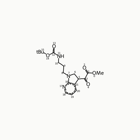 COC(=O)C(=O)C1CN(CCCNC(=O)OC(C)(C)C)c2ncccc21